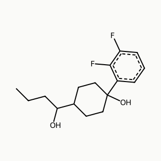 CCCC(O)C1CCC(O)(c2cccc(F)c2F)CC1